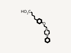 O=C(O)CCCCc1ccc(OCCN2CCN(c3ccccc3)CC2)cc1